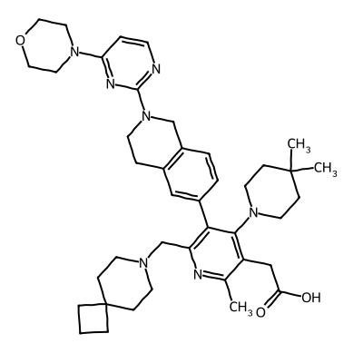 Cc1nc(CN2CCC3(CCC3)CC2)c(-c2ccc3c(c2)CCN(c2nccc(N4CCOCC4)n2)C3)c(N2CCC(C)(C)CC2)c1CC(=O)O